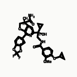 COc1cc(C(=O)NC[C@](O)(c2cc3c(c(-c4ccc5c(c4)OC(F)(F)O5)n2)OC[C@]3(C)C(N)=O)C2CC2)ccc1OC1CC1